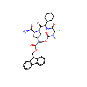 C[C@@H](C(=O)NC(C(=O)N1CC(NC(=O)OCC2c3ccccc3-c3ccccc32)CC1C(N)=O)C1CCCCC1)N(C)C(=O)OC(C)(C)C